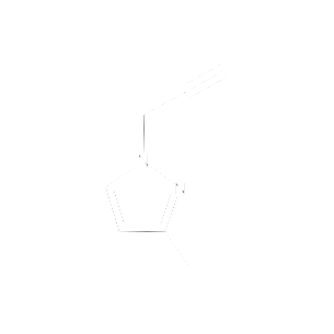 C#CCn1ccc(C)n1